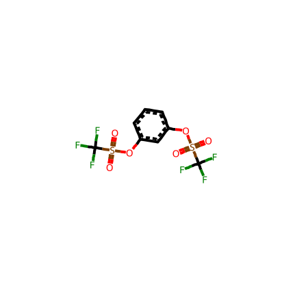 O=S(=O)(Oc1cccc(OS(=O)(=O)C(F)(F)F)c1)C(F)(F)F